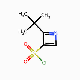 CC(C)(C)C1=NC=C1S(=O)(=O)Cl